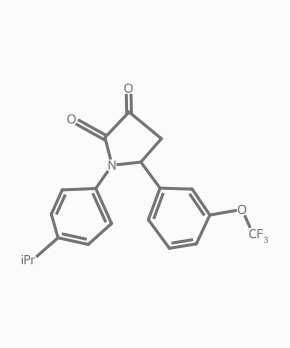 CC(C)c1ccc(N2C(=O)C(=O)CC2c2cccc(OC(F)(F)F)c2)cc1